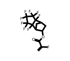 C=C(F)C(=O)OC1CC2CC1C1(F)C(F)(F)C(F)(F)C(F)(F)C21F